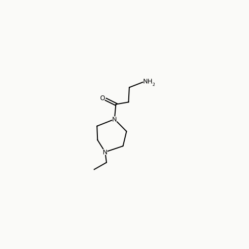 CCN1CCN(C(=O)CCN)CC1